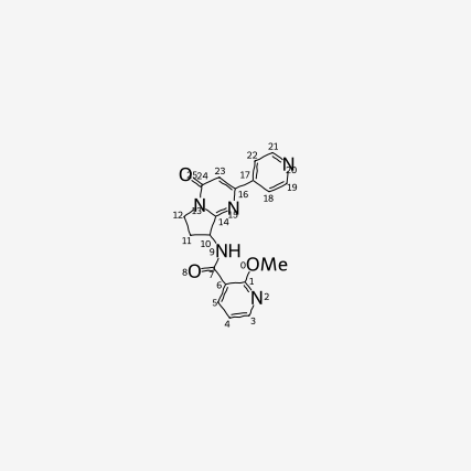 COc1ncccc1C(=O)NC1CCn2c1nc(-c1ccncc1)cc2=O